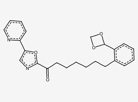 O=C(CCCCCCc1ccccc1C1OCO1)c1ncc(-c2ccccn2)o1